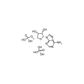 Nc1ncnc2c1ncn2[C@@H]1O[C@H](COP(=O)(O)O)[C@@H](O)[C@H]1O.O=P(O)(O)O